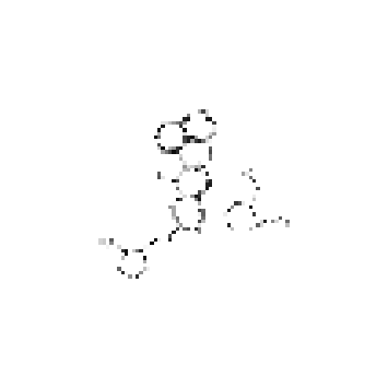 CN1CCC[C@@H]1COc1nc(N2CCN(C)[C@@H](CC#N)C2)c2cnc(-c3cccc4cccc(Cl)c34)c(F)c2n1